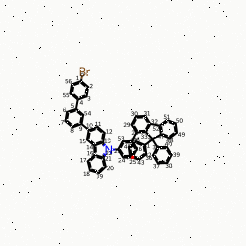 Brc1ccc(-c2cccc(-c3ccc4c(c3)c3ccccc3n4-c3cccc(-c4cccc5c4C(c4ccccc4)(c4ccccc4)c4ccccc4-5)c3)c2)cc1